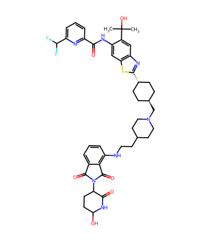 CC(C)(O)c1cc2nc([C@H]3CC[C@H](CN4CCC(CCNc5cccc6c5C(=O)N(C5CCC(O)NC5=O)C6=O)CC4)CC3)sc2cc1NC(=O)c1cccc(C(F)F)n1